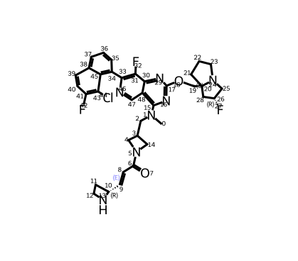 CN(CC1CN(C(=O)/C=C/[C@H]2CCN2)C1)c1nc(OC[C@@]23CCCN2C[C@H](F)C3)nc2c(F)c(-c3cccc4ccc(F)c(Cl)c34)ncc12